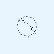 [CH]1CCC2CCCN1CCC2